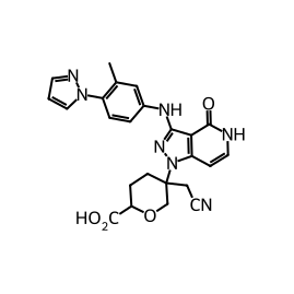 Cc1cc(Nc2nn(C3(CC#N)CCC(C(=O)O)OC3)c3cc[nH]c(=O)c23)ccc1-n1cccn1